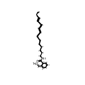 CCCCCCCCCCCCCCNC(=O)c1ccccc1CO